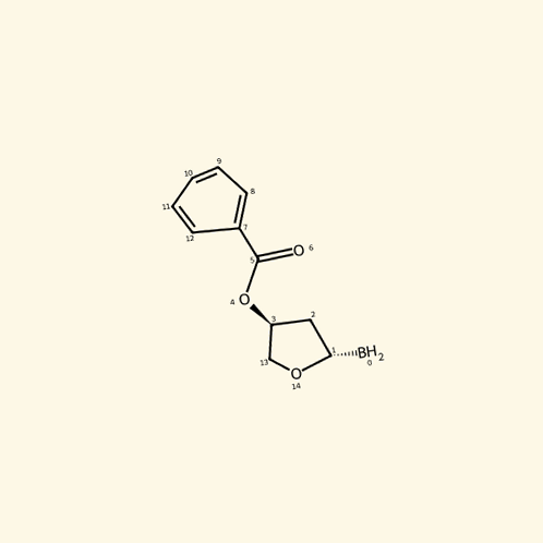 B[C@H]1C[C@H](OC(=O)c2ccccc2)CO1